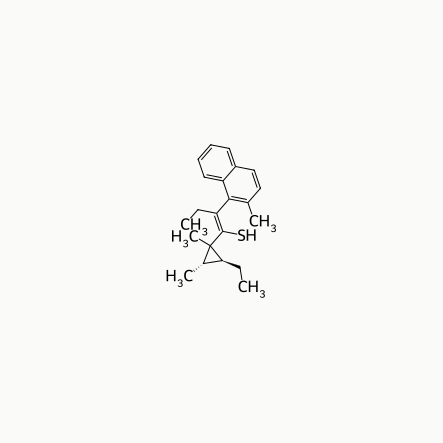 CC/C(=C(/S)C1(C)[C@@H](C)[C@@H]1CC)c1c(C)ccc2ccccc12